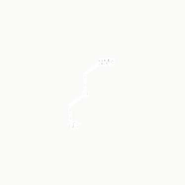 CCCCOCNC